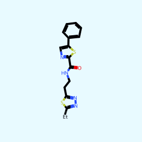 CCc1nnc(CCNC(=O)c2ncc(-c3ccccc3)s2)s1